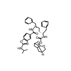 CC(C)Nc1nc2cc(C(=O)NN(CC[C@H](Cc3ccccc3)NC(=O)OC3C4CC5C[C@@H]3COC5O4)Cc3ccccc3)ccc2o1